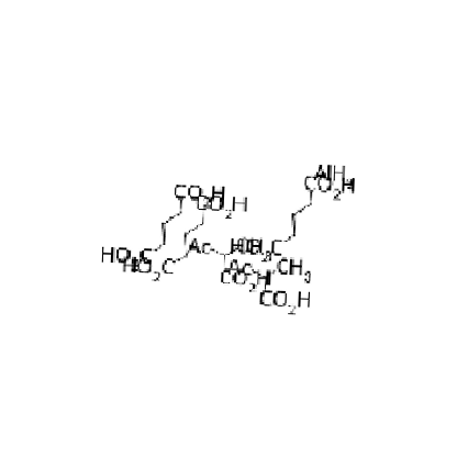 CC(=O)C(C)C(=O)O.CC(=O)C(C)C(=O)O.O=C(O)CCCC(=O)O.O=C(O)CCCC(=O)O.O=C(O)CCCC(=O)O.[AlH3]